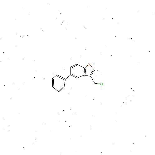 ClCc1csc2ccc(-c3ccccc3)cc12